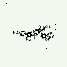 C=CCn1c(=O)c2cnc(Nc3ccc(N4CCN(C)CC4)c(CO)c3)nc2n1-c1ccc2c(c1)N(CCC)C(=O)CO2